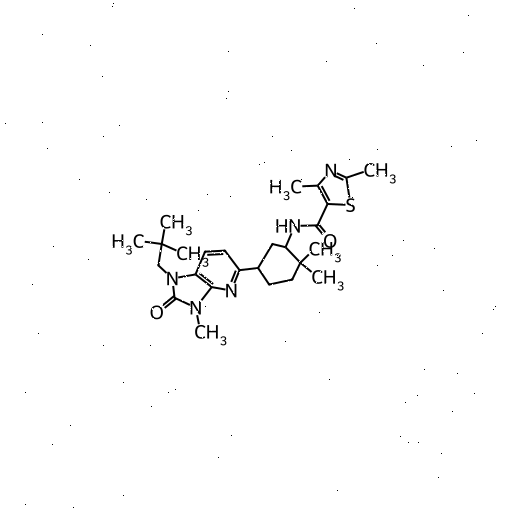 Cc1nc(C)c(C(=O)NC2CC(c3ccc4c(n3)n(C)c(=O)n4CC(C)(C)C)CCC2(C)C)s1